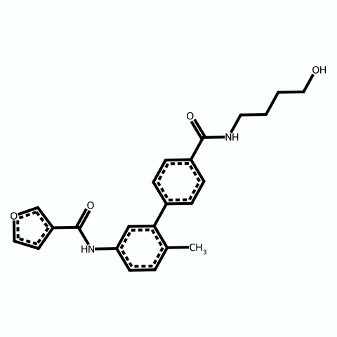 Cc1ccc(NC(=O)c2ccoc2)cc1-c1ccc(C(=O)NCCCCO)cc1